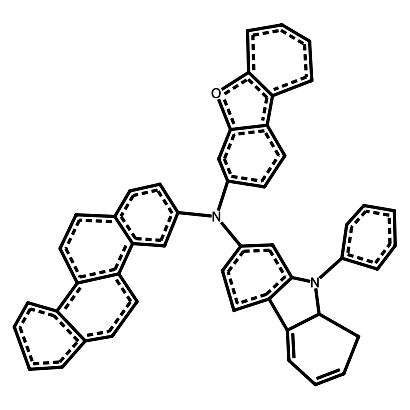 C1=CCC2C(=C1)c1ccc(N(c3ccc4c(c3)oc3ccccc34)c3ccc4ccc5c6ccccc6ccc5c4c3)cc1N2c1ccccc1